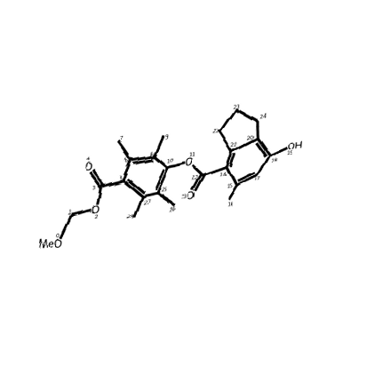 COCOC(=O)c1c(C)c(C)c(OC(=O)c2c(C)cc(O)c3c2CCC3)c(C)c1C